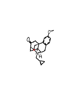 COc1ccc2c(c1)[C@]13CCN(CC4CC4)[C@H](C2)C1(C)C1CC1C(=O)C3